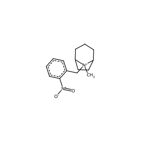 C[N+]1(Cc2ccccc2[N+](=O)[O-])C2C[CH]CC1CC2